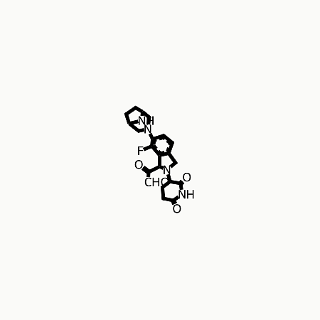 O=CC(=O)C1c2c(ccc(N3CC4CCC(C3)N4)c2F)CN1C1CCC(=O)NC1=O